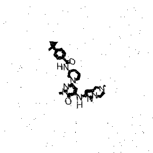 CN1CCn2nc(Nc3cc(N4CCC[C@@H](NC(=O)c5ccc(C6(C)CC6)cc5)C4)nn(C)c3=O)cc2C1